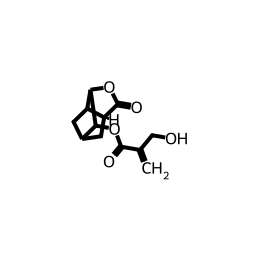 C=C(CO)C(=O)OC1C2CC3C1OC(=O)[C@H]3C2